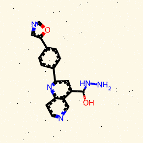 NNC(O)c1cc(-c2ccc(-c3cnco3)cc2)nc2ccncc12